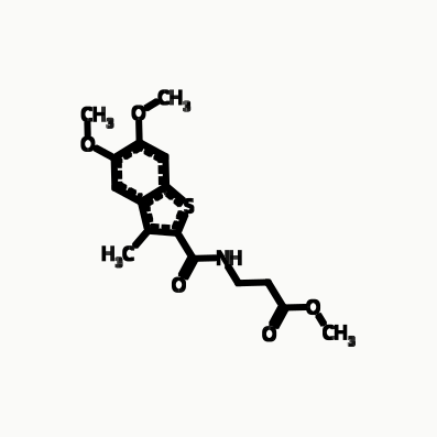 COC(=O)CCNC(=O)c1sc2cc(OC)c(OC)cc2c1C